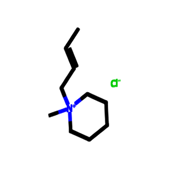 CC=CC[N+]1(C)CCCCC1.[Cl-]